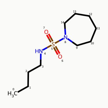 CCCCNS(=O)(=O)N1CCCCCC1